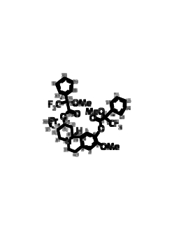 COc1cc2c(cc1OC(=O)[C@](OC)(c1ccccc1)C(F)(F)F)[C@H]1C[C@H](OC(=O)[C@](OC)(c3ccccc3)C(F)(F)F)[C@@H](CC(C)C)CN1CC2